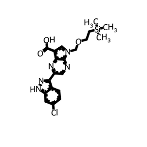 C[Si](C)(C)CCOCn1cc(C(=O)O)c2nc(-c3n[nH]c4cc(Cl)ccc34)cnc21